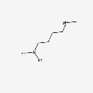 CCN(CC)CC[CH]CPC